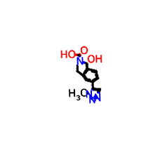 Cn1nncc1-c1ccc2c(c1)CCN(C(=O)O)C2O